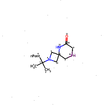 CCCCCC(C)(C)N1CC2(CPCC(=O)N2)C1